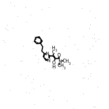 C/C(=C(/O)C(=O)N(C)C)c1nccc(CCc2ccccc2)n1